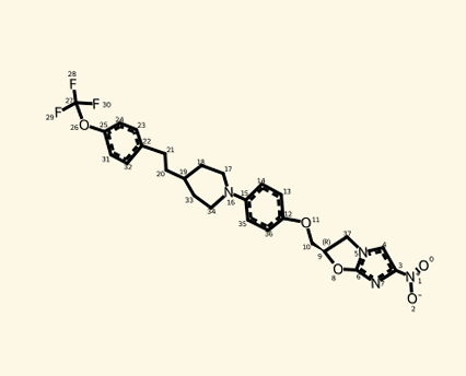 O=[N+]([O-])c1cn2c(n1)O[C@@H](COc1ccc(N3CCC(CCc4ccc(OC(F)(F)F)cc4)CC3)cc1)C2